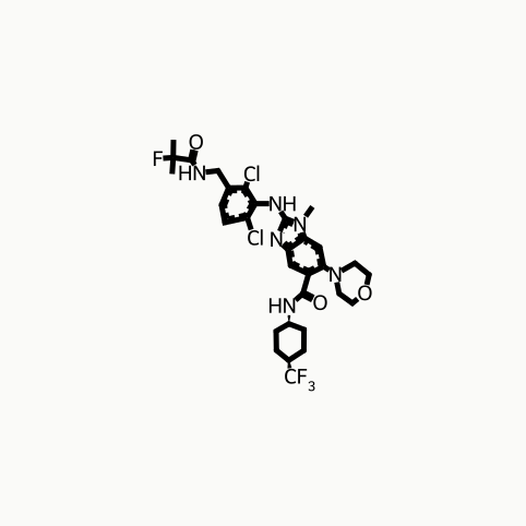 Cn1c(Nc2c(Cl)ccc(CNC(=O)C(C)(C)F)c2Cl)nc2cc(C(=O)N[C@H]3CC[C@H](C(F)(F)F)CC3)c(N3CCOCC3)cc21